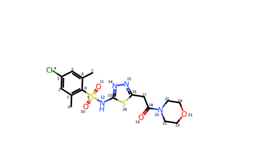 Cc1cc(Cl)cc(C)c1S(=O)(=O)Nc1nnc(CC(=O)N2CCOCC2)s1